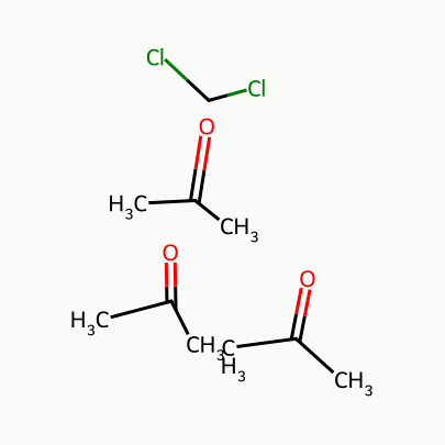 CC(C)=O.CC(C)=O.CC(C)=O.ClCCl